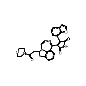 O=C1NC(=O)C(c2cccc3ccoc23)=C1C1=NC=CN2c3c(cccc31)CC2CC(=O)N1CCOCC1